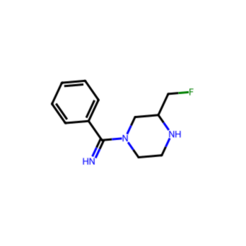 N=C(c1ccccc1)N1CCNC(CF)C1